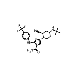 CC(C)(C)NC1CCC(n2cc(C(N)=O)c(Nc3ccc(C(F)(F)F)cc3)n2)C(C#N)C1